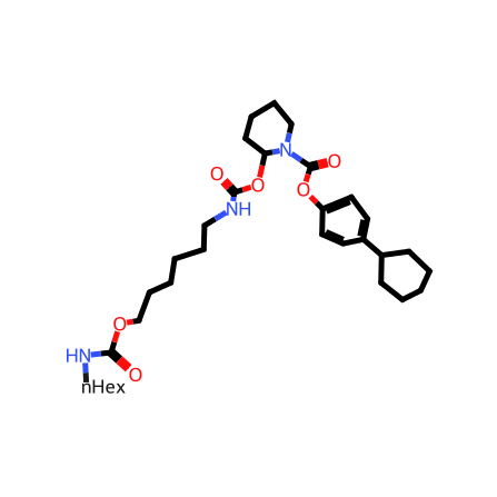 CCCCCCNC(=O)OCCCCCCNC(=O)OC1CCCCN1C(=O)Oc1ccc(C2CCCCC2)cc1